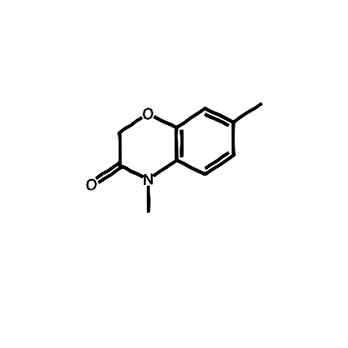 Cc1ccc2c(c1)OCC(=O)N2C